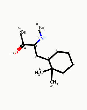 CC(C)(C)NC(CC1CCCCC1(C)C)C(=O)C(C)(C)C